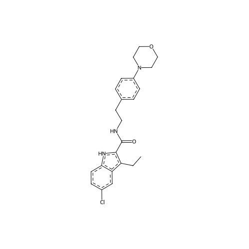 CCc1c(C(=O)NCCc2ccc(N3CCOCC3)cc2)[nH]c2ccc(Cl)cc12